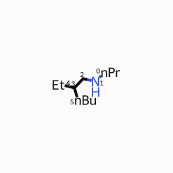 [CH2]CCNCC(CC)CCCC